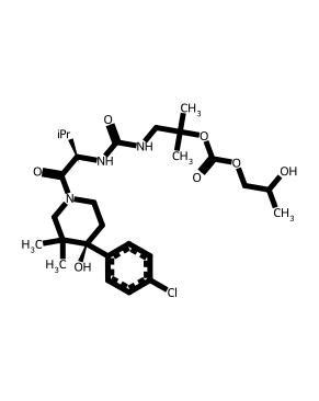 CC(O)COC(=O)OC(C)(C)CNC(=O)N[C@@H](C(=O)N1CC[C@](O)(c2ccc(Cl)cc2)C(C)(C)C1)C(C)C